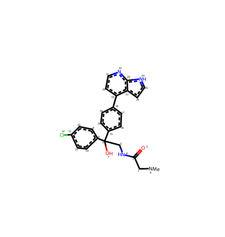 CNCC(=O)NCC(O)(c1ccc(Cl)cc1)c1ccc(-c2ccnc3[nH]ccc23)cc1